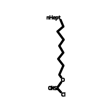 CCCCCCCCCCCCCCCO[SiH](Cl)Cl